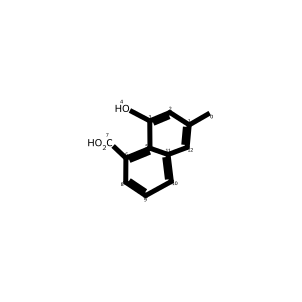 Cc1cc(O)c2c(C(=O)O)cccc2c1